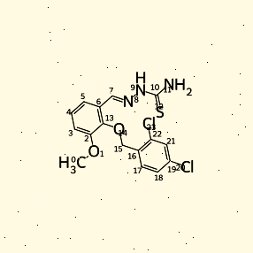 COc1cccc(C=NNC(N)=S)c1OCc1ccc(Cl)cc1Cl